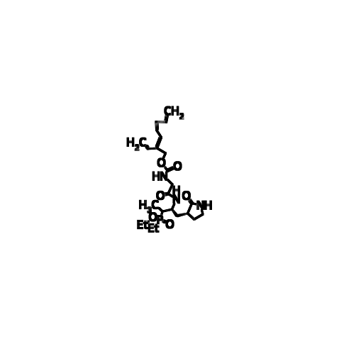 C=C/C=C\C=C(/C=C)COC(=O)NCC(=O)N[C@@H](C[C@@H]1CCNC1=O)C(C)P(=O)(CC)OCC